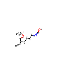 CCCC(CCCCN=C=O)CO[SiH3]